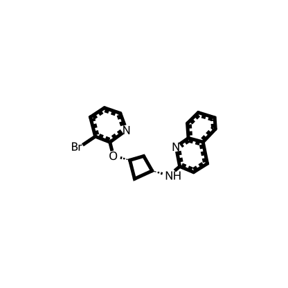 Brc1cccnc1O[C@H]1C[C@@H](Nc2ccc3ccccc3n2)C1